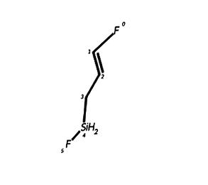 FC=CC[SiH2]F